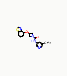 COc1cncc(NC(=O)N2CC(Oc3cccc4scnc34)C2)c1